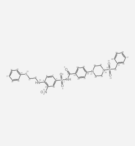 O=C(NS(=O)(=O)c1ccc(NCCSc2ccccc2)c([N+](=O)[O-])c1)c1ccc(N2CCN(S(=O)(=O)Cc3ccccc3)CC2)cc1